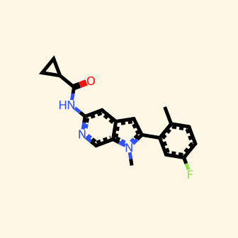 Cc1ccc(F)cc1-c1cc2cc(NC(=O)C3CC3)ncc2n1C